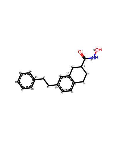 O=C(NO)C1CCc2ccc(CCc3ccccc3)cc2C1